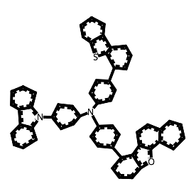 c1ccc2c(c1)ccc1c2oc2cccc(-c3ccc(N(c4ccc(-c5cccc6c5sc5ccccc56)cc4)c4ccc(-n5c6ccccc6c6ccccc65)cc4)cc3)c21